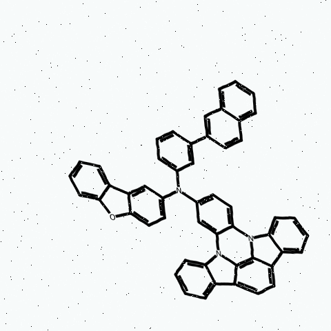 c1cc(-c2ccc3ccccc3c2)cc(N(c2ccc3oc4ccccc4c3c2)c2ccc3c(c2)n2c4ccccc4c4ccc5c6ccccc6n3c5c42)c1